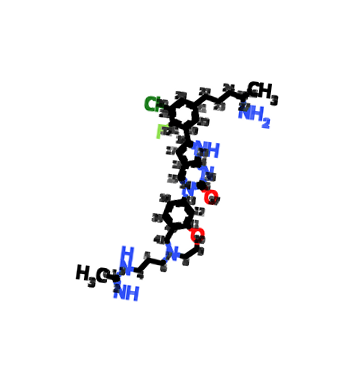 CC(=N)NCCCN1CCOc2cc(-n3cc4cc(-c5cc(CCCC(C)N)cc(Cl)c5F)[nH]c4nc3=O)ccc2C1